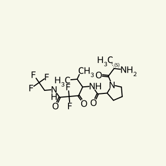 CC(C)C(NC(=O)C1CCCN1C(=O)[C@H](C)N)C(=O)C(F)(F)C(=O)NCC(F)(F)F